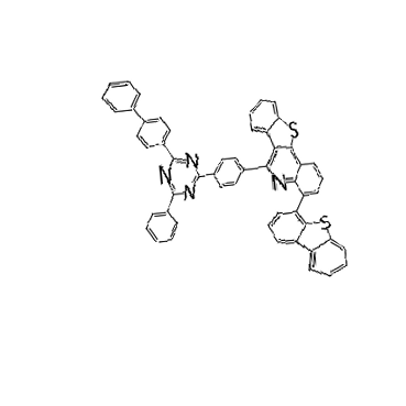 c1ccc(-c2ccc(-c3nc(-c4ccccc4)nc(-c4ccc(-c5nc6c(-c7cccc8c7sc7ccccc78)cccc6c6sc7ccccc7c56)cc4)n3)cc2)cc1